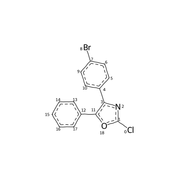 Clc1nc(-c2ccc(Br)cc2)c(-c2ccccc2)o1